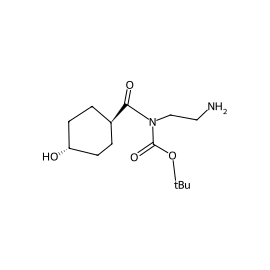 CC(C)(C)OC(=O)N(CCN)C(=O)[C@H]1CC[C@H](O)CC1